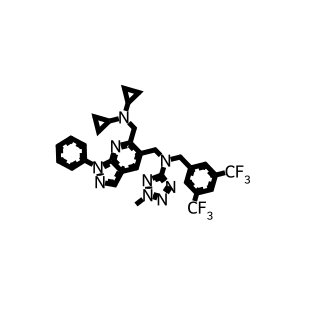 Cn1nnc(N(Cc2cc(C(F)(F)F)cc(C(F)(F)F)c2)Cc2cc3cnn(-c4ccccc4)c3nc2CN(C2CC2)C2CC2)n1